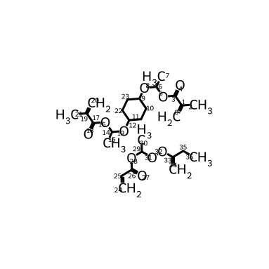 C=C(C)C(=O)OC(C)OC1CCC(OC(C)OC(=O)C(=C)C)CC1.C=CC(=O)OC(C)OOC(=C)CC